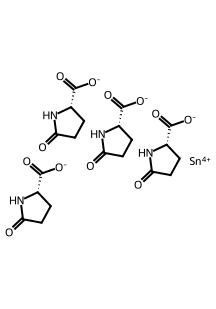 O=C1CC[C@@H](C(=O)[O-])N1.O=C1CC[C@@H](C(=O)[O-])N1.O=C1CC[C@@H](C(=O)[O-])N1.O=C1CC[C@@H](C(=O)[O-])N1.[Sn+4]